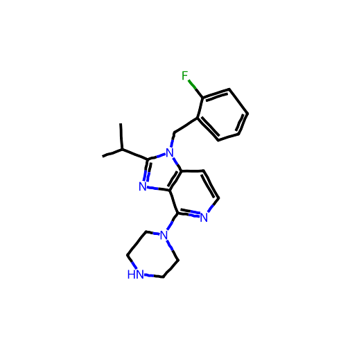 CC(C)c1nc2c(N3CCNCC3)nccc2n1Cc1ccccc1F